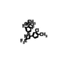 Cc1ccc(-c2cc(C(F)(F)F)nn2-c2cc(F)c(S(C)(=O)=O)c(F)c2)cc1Cl